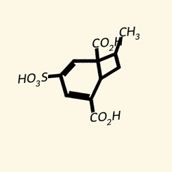 CC1CC2C(C(=O)O)=CC(S(=O)(=O)O)=CC12C(=O)O